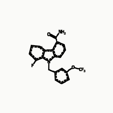 NC(=O)c1cccc2c1c1[c]ccc(F)c1n2Cc1cccc(OC(F)(F)F)c1